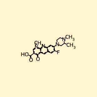 CC1CN(c2cc3nc4c(cc3cc2F)c(=O)c(C(=O)O)cn4C)CCN1C